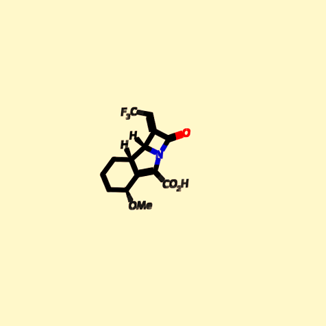 CO[C@H]1CCC[C@H]2C1=C(C(=O)O)N1C(=O)/C(=C/C(F)(F)F)[C@@H]21